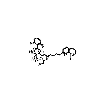 COC(CF)CN(CCCCc1ccc2c(n1)NCCC2)CCC(NC(=O)c1c(F)cccc1F)C(=O)O